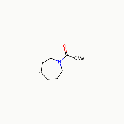 COC(=O)N1CC[CH]CCC1